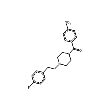 O=C(c1ccc([N+](=O)[O-])cc1)N1CCN(CCc2ccc(F)cc2)CC1